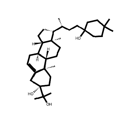 C[C@H](CCC1(O)CCC(C)(C)CC1)[C@H]1CC[C@H]2[C@@H]3CC=C4C[C@](O)(C(C)(C)O)CC[C@]4(C)[C@H]3CC[C@]12C